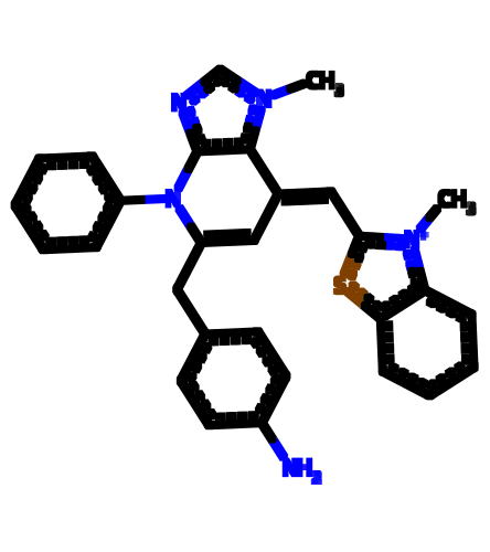 Cn1cnc2c1C(=Cc1sc3ccccc3[n+]1C)C=C(Cc1ccc(N)cc1)N2c1ccccc1